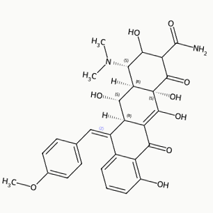 COc1ccc(/C=C2\c3cccc(O)c3C(=O)C3=C(O)[C@]4(O)C(=O)C(C(N)=O)C(O)[C@@H](N(C)C)[C@@H]4[C@@H](O)[C@@H]32)cc1